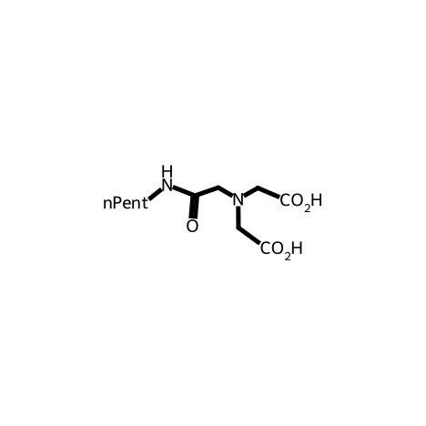 CCCCCNC(=O)CN(CC(=O)O)CC(=O)O